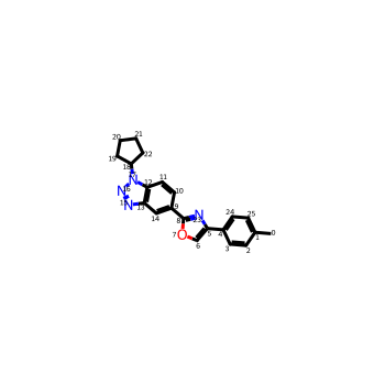 Cc1ccc(-c2coc(-c3ccc4c(c3)nnn4C3CCCC3)n2)cc1